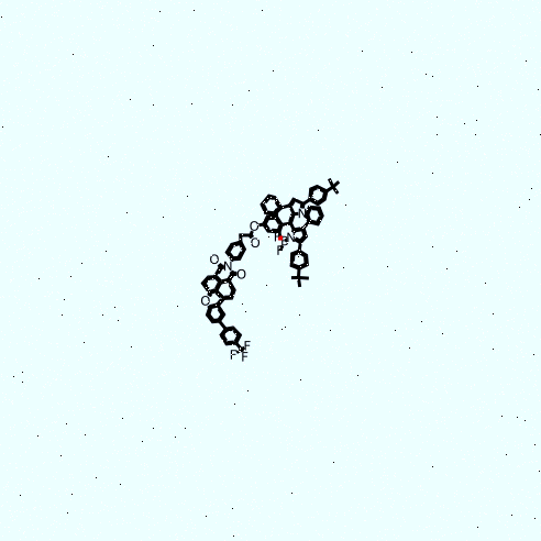 Cc1cc(OC(=O)Cc2ccc(-n3c(=O)c4ccc5oc6ccc(-c7ccc(C(F)(F)F)cc7)cc6c6ccc(c3=O)c4c56)cc2)cc(C)c1/C(=C1/N=C(c2ccc(C(C)(C)C)cc2)C=C1c1ccccc1)c1c(-c2ccccc2)cc(-c2ccc(C(C)(C)C)cc2)n1B(F)F